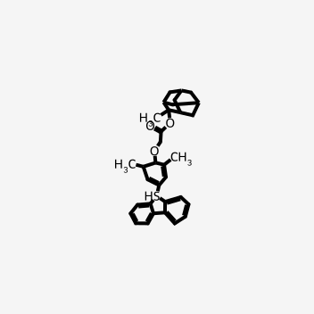 CC1=CC([SH]2c3ccccc3-c3ccccc32)=CC(C)C1OCC(=O)OC1(C)C2CC3CC(C2)CC1C3